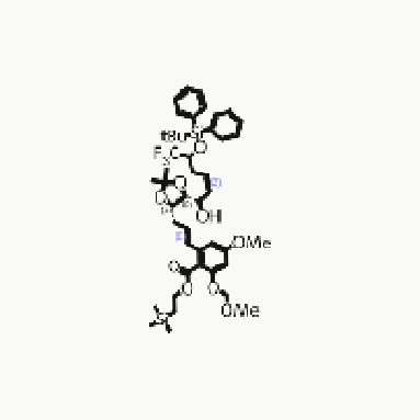 COCOc1cc(OC)cc(/C=C/C[C@@H]2OC(C)(C)O[C@@H]2C(O)/C=C\CC(O[Si](c2ccccc2)(c2ccccc2)C(C)(C)C)C(F)(F)F)c1C(=O)OCC[Si](C)(C)C